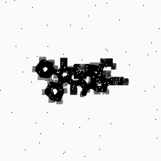 COc1ccc(/C(C)=C(/NC2=C(c3ccccc3)C(c3ccccc3)NN2C=O)Nc2cc(N)[nH]n2)cc1